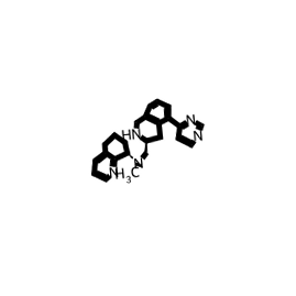 CN(C[C@@H]1Cc2c(cccc2-c2ccncn2)CN1)[C@H]1CCCc2cccnc21